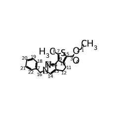 CCOC(=O)c1sc(C)c2c1CCc1cn(Cc3ccccc3)nc1-2